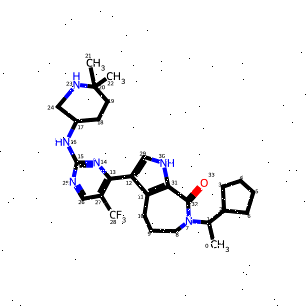 CC(C1CCCC1)N1CCCc2c(-c3nc(NC4CCC(C)(C)NC4)ncc3C(F)(F)F)c[nH]c2C1=O